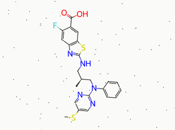 CSc1cnc(N(C[C@@H](C)CNc2nc3cc(F)c(C(=O)O)cc3s2)c2ccccc2)nc1